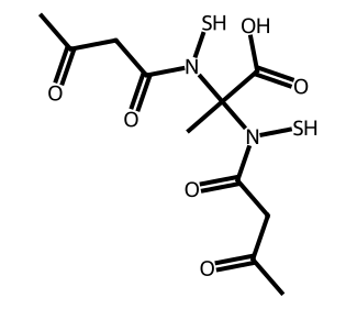 CC(=O)CC(=O)N(S)C(C)(C(=O)O)N(S)C(=O)CC(C)=O